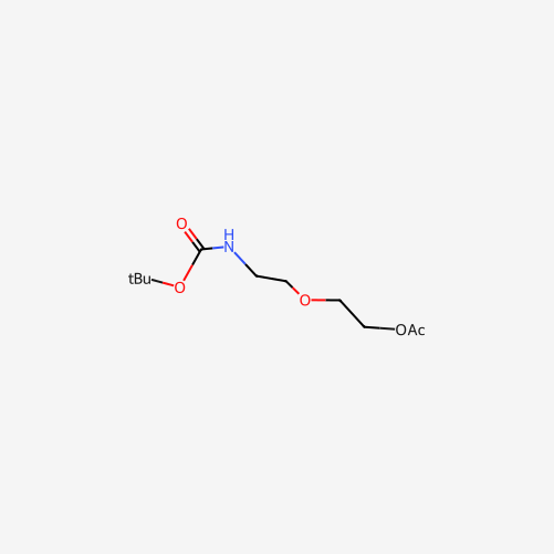 CC(=O)OCCOCCNC(=O)OC(C)(C)C